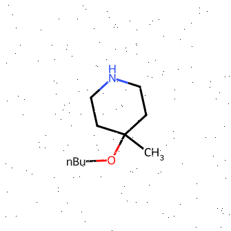 CCCCOC1(C)CCNCC1